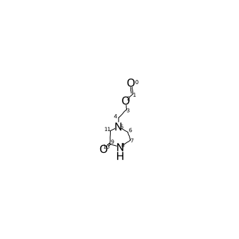 O=COCCN1CCNC(=O)C1